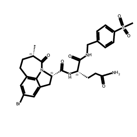 C[C@H]1CCc2cc(Br)cc3c2N(C1=O)[C@H](C(=O)N[C@@H](CCC(N)=O)C(=O)NCc1ccc(S(C)(=O)=O)cc1)C3